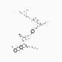 C=CC(=O)N1CN(C(=O)C=C)CN(C(=O)CCSCC(=O)N[C@H](C(=O)N[C@@H](CCCNC(N)=O)C(=O)Nc2ccc(COC(=O)O[C@H]3[C@@H](NC(=O)C(F)(F)F)C[C@H](O[C@H]4C[C@](O)(C(=O)COC(=O)CCCC)Cc5c(O)c6c(c(O)c54)C(=O)c4c(OC)cccc4C6=O)O[C@H]3C)cc2)C(C)C)C1